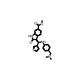 COC(=O)c1ccc2c(c1)NC(=O)C2=C(Nc1ccc(CN(C)C)cc1)c1ccsc1